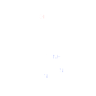 OCc1ccc(-c2cc3nccnc3[nH]2)cc1